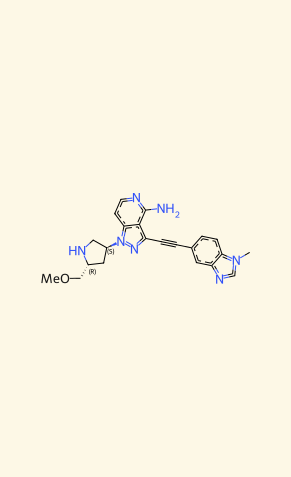 COC[C@H]1C[C@H](n2nc(C#Cc3ccc4c(c3)ncn4C)c3c(N)nccc32)CN1